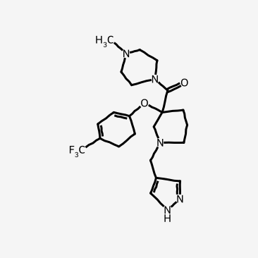 CN1CCN(C(=O)C2(OC3=CC=C(C(F)(F)F)CC3)CCCN(Cc3cn[nH]c3)C2)CC1